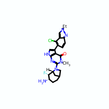 CCn1cc2c(Cl)c(-c3c[nH]c4nc(N5CC6CC[C@H](N)[C@H](F)[C@H]5C6)n(C)c(=O)c34)ccc2n1